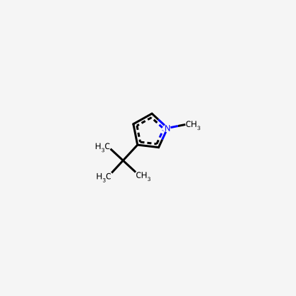 Cn1ccc(C(C)(C)C)c1